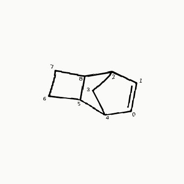 C1=CC2CC1C1CCC21